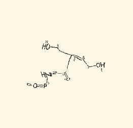 O=PNC(=O)C(=CCO)CO